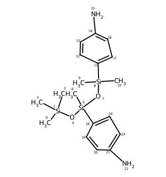 C[Si](C)(C)O[Si](C)(O[Si](C)(C)c1ccc(N)cc1)c1ccc(N)cc1